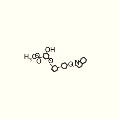 COC(=O)c1cc(O)cc(OCc2cccc(-c3ccc(OCc4ccc5ccccc5n4)cc3)c2)c1